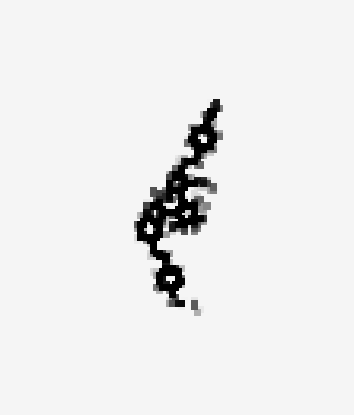 COc1ccc(C=Cc2ccc3sc(C)c(C4=C(c5c(C)sc(C=Cc6ccc(C#N)cc6)c5C)C(F)(F)C(F)(F)C4(F)F)c3c2)cc1